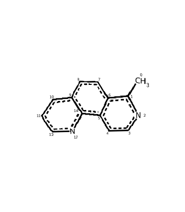 Cc1nccc2c1ccc1cccnc12